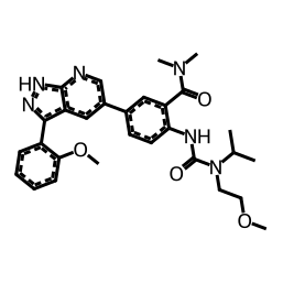 COCCN(C(=O)Nc1ccc(-c2cnc3[nH]nc(-c4ccccc4OC)c3c2)cc1C(=O)N(C)C)C(C)C